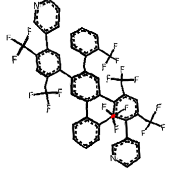 FC(F)(F)c1cc(C(F)(F)F)c(-c2cc(-c3ccccc3C(F)(F)F)c(-c3cc(-c4cccnc4)c(C(F)(F)F)cc3C(F)(F)F)cc2-c2ccccc2C(F)(F)F)cc1-c1cccnc1